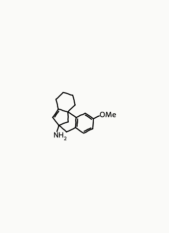 COc1ccc2c(c1)C13CCCCC1=CC(N)(C2)C3